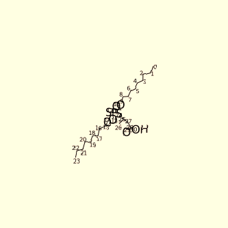 CCCCCCCCCOOP(=S)(OOCCCCCCCCC)SC(C)CC(=O)O